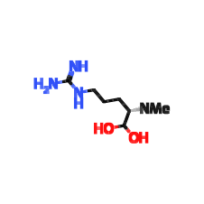 CN[C@@H](CCCNC(=N)N)C(O)O